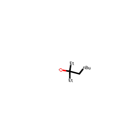 CCCCCC([O])(CC)CC